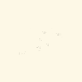 NC(=O)c1cnc(N[C@@H]2CCC[C@H](O)C2)nc1NC1CCC1